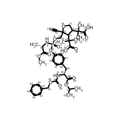 COC(=O)[C@H](C)NP(=O)(OCC1(C#N)OCC(C(C)(C)C(=O)O)C1C(C)(C)C(=O)O)Oc1ccc(C[C@H](NC(=O)OCc2ccccc2)C(=O)OC(C)C)cc1